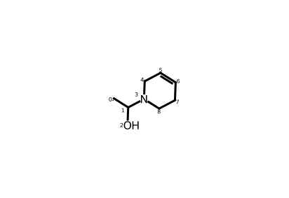 [CH2]C(O)N1CC=CCC1